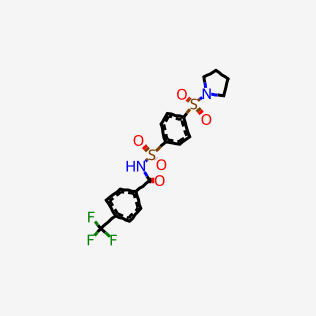 O=C(NS(=O)(=O)c1ccc(S(=O)(=O)N2CCCC2)cc1)c1ccc(C(F)(F)F)cc1